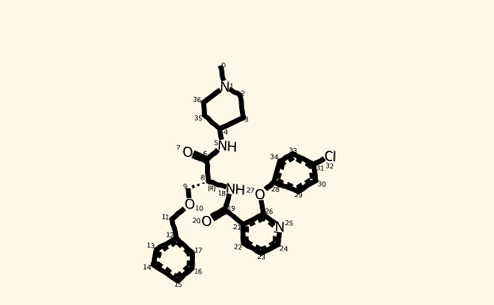 CN1CCC(NC(=O)[C@@H](COCc2ccccc2)NC(=O)c2cccnc2Oc2ccc(Cl)cc2)CC1